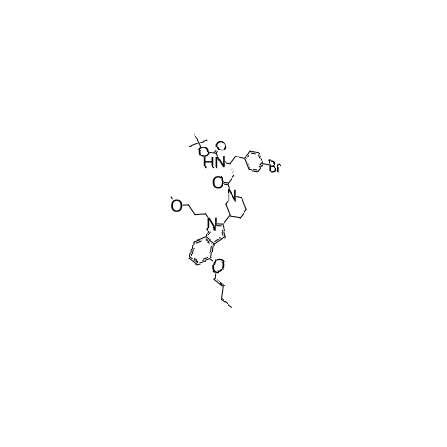 CCCCOc1cccc2c1cc(C1CCCN(C(=O)C[C@@H](Cc3ccc(Br)cc3)NC(=O)OC(C)(C)C)C1)n2CCCOC